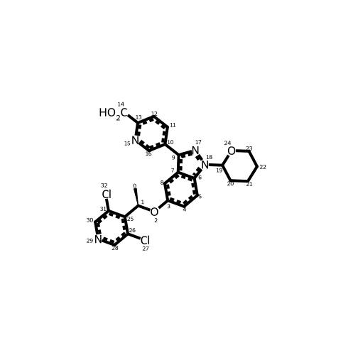 C[C@@H](Oc1ccc2c(c1)c(-c1ccc(C(=O)O)nc1)nn2C1CCCCO1)c1c(Cl)cncc1Cl